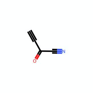 C#CC(=O)C#N